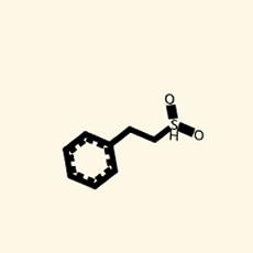 O=[SH](=O)CCc1ccccc1